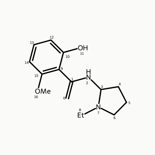 C=C(NC1CCCN1CC)c1c(O)cccc1OC